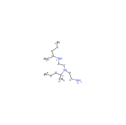 CC(C)CCC(C)NCCN(CCN)C(C)CCC(C)C